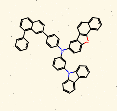 c1ccc(-c2cccc3ccc(-c4ccc(N(c5cccc(-n6c7ccccc7c7ccccc76)c5)c5ccc6oc7c8ccccc8ccc7c6c5)cc4)cc23)cc1